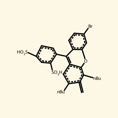 C=c1c(CCCC)cc2c(c1CCCC)Oc1cc(Br)ccc1C=2c1ccc(S(=O)(=O)O)cc1S(=O)(=O)O